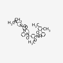 COc1cc(C(=O)N2CCC(=O)N(CC(=O)N3CCC(N(C)C)CC3)c3ccccc32)ccc1NC(=O)c1ccccc1-c1ccc(C)cc1C